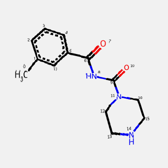 Cc1cccc(C(=O)NC(=O)N2CCNCC2)c1